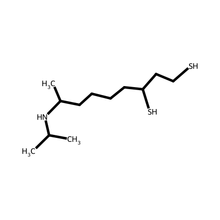 CC(C)NC(C)CCCCC(S)CCS